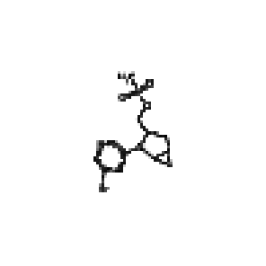 CS(=O)(=O)OCC1CC2CC2N1c1cncc(Br)c1